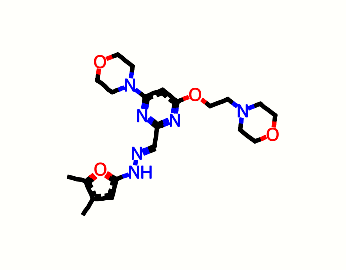 Cc1cc(NN=Cc2nc(OCCN3CCOCC3)cc(N3CCOCC3)n2)oc1C